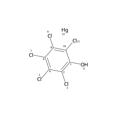 Oc1c(Cl)c(Cl)c(Cl)c(Cl)c1Cl.[Hg]